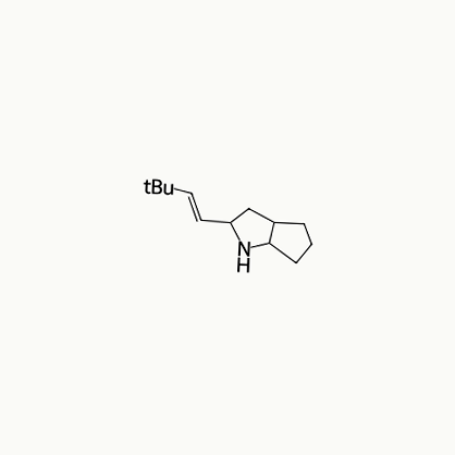 CC(C)(C)/C=C/C1CC2CCCC2N1